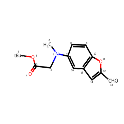 CN(CC(=O)OC(C)(C)C)c1ccc2oc(C=O)cc2c1